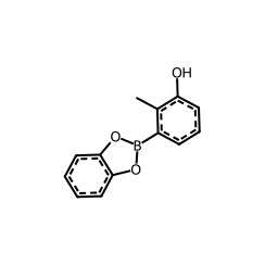 Cc1c(O)cccc1B1Oc2ccccc2O1